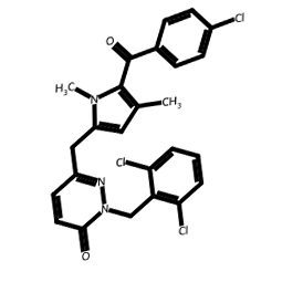 Cc1cc(Cc2ccc(=O)n(Cc3c(Cl)cccc3Cl)n2)n(C)c1C(=O)c1ccc(Cl)cc1